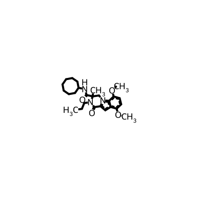 CCCN1C(=O)c2cc3c(OC)ccc(OC)c3n2CC1(C)C(=O)NC1CCCCCCC1